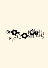 CN(C)c1cc(NC2CCC(NCc3ccc(Br)cc3OC(F)(F)F)CC2)ncn1